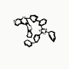 c1ccc(-c2ccc(-c3nc(-c4ccccc4)nc(-c4cccc(-c5cccc(-c6nc7cnccc7c7c6sc6ccccc67)c5)c4)n3)cc2)cc1